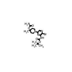 CC(C)(C)OC(=O)Nc1nc(N2CCC(C)(OC(N)=O)CC2)cnc1Br